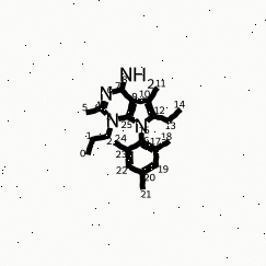 CCCN1C(C)=NC(N)c2c(C)c(CC)n(-c3c(C)cc(C)cc3C)c21